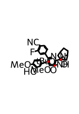 COc1ccc(-c2c(OC)cc(C(=O)N3C4CCC3CC(NC(=O)OC(C)(C)C)C4)nc2-c2ccc(C#N)c(F)c2)cc1O